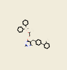 CCCCc1nc(C)nc(OCC(C)O[Si](c2ccccc2)(c2ccccc2)C(C)(C)C)c1Cc1ccc(-c2ccccc2C#N)cc1